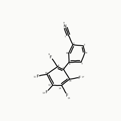 N#Cc1cccc(-c2c(F)c(F)c(F)c(F)c2F)c1